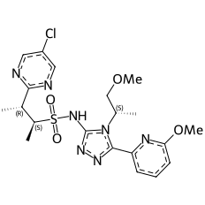 COC[C@H](C)n1c(NS(=O)(=O)[C@@H](C)[C@H](C)c2ncc(Cl)cn2)nnc1-c1cccc(OC)n1